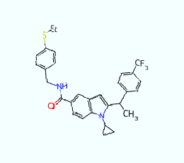 CCSc1ccc(CNC(=O)c2ccc3c(c2)cc(C(C)c2ccc(C(F)(F)F)cc2)n3C2CC2)cc1